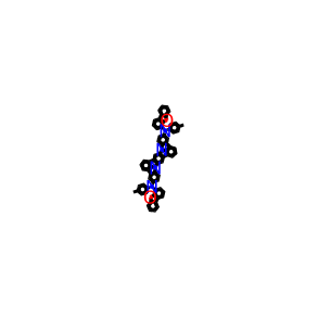 Cc1ccc(N(c2ccc3c(c2)c2cccc4c5cc6c(cc5n3c24)c2cccc3c4cc(N(c5ccc(C)cc5)c5cccc7c5oc5ccccc57)ccc4n6c32)c2cccc3c2oc2ccccc23)cc1